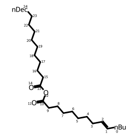 CCCCC=CCCCCCCCC(=O)OC(=O)CCCCCCCCCCCCCCCCCCC